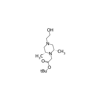 C[C@@H]1CN(CCO)C[C@H](C)N1CC(=O)OC(C)(C)C